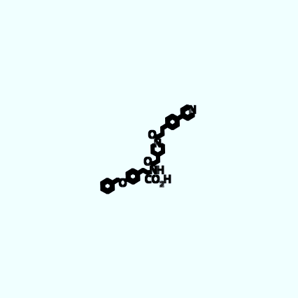 O=C(CC1CCN(C(=O)CCc2ccc(-c3ccncc3)cc2)CC1)N[C@@H](Cc1ccc(OCc2ccccc2)cc1)C(=O)O